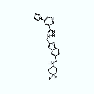 FC1(F)CCC(NCc2ccc3nc(Cn4cc(-c5cncc(-n6cccc6)c5)nn4)cn3c2)CC1